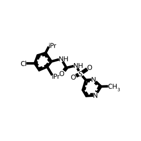 Cc1nccc(S(=O)(=O)NC(=O)Nc2c(C(C)C)cc(Cl)cc2C(C)C)n1